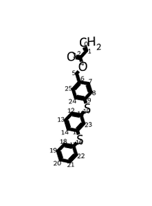 C=CC(=O)OCc1ccc(Sc2cccc(Sc3ccccc3)c2)cc1